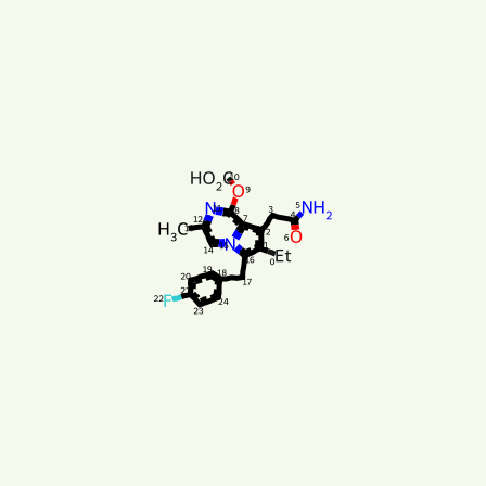 CCc1c(CC(N)=O)c2c(OC(=O)O)nc(C)cn2c1Cc1ccc(F)cc1